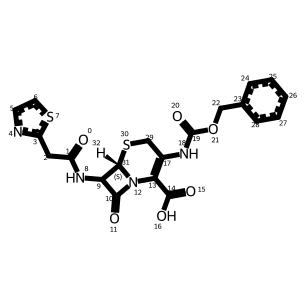 O=C(Cc1nccs1)NC1C(=O)N2C(C(=O)O)=C(NC(=O)OCc3ccccc3)CS[C@@H]12